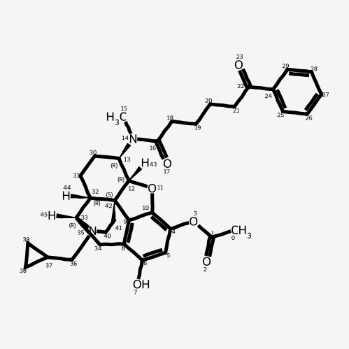 CC(=O)Oc1cc(O)c2c3c1O[C@H]1[C@H](N(C)C(=O)CCCCC(=O)c4ccccc4)CC[C@H]4[C@@H](C2)N(CC2CC2)CC[C@@]341